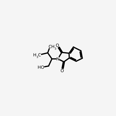 CC(C)C(CO)N1C(=O)c2ccccc2C1=O